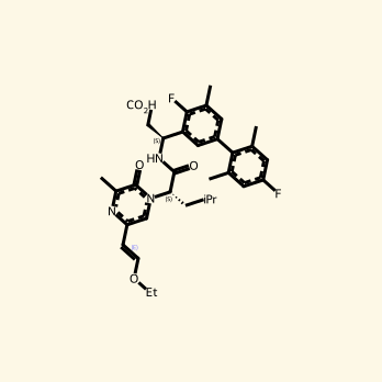 CCO/C=C/c1cn([C@@H](CC(C)C)C(=O)N[C@@H](CC(=O)O)c2cc(-c3c(C)cc(F)cc3C)cc(C)c2F)c(=O)c(C)n1